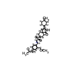 COCc1cc(NC(C)=O)ccc1/C=C/S(=O)(=O)N1CCC2(CC1)N=C(C1CCC(C)CC1)NC2=O